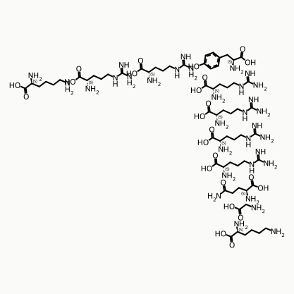 N=C(N)NCCC[C@H](N)C(=O)O.N=C(N)NCCC[C@H](N)C(=O)O.N=C(N)NCCC[C@H](N)C(=O)O.N=C(N)NCCC[C@H](N)C(=O)O.N=C(N)NCCC[C@H](N)C(=O)O.N=C(N)NCCC[C@H](N)C(=O)O.NC(=O)CC[C@H](N)C(=O)O.NCC(=O)O.NCCCC[C@H](N)C(=O)O.NCCCC[C@H](N)C(=O)O.N[C@@H](Cc1ccc(O)cc1)C(=O)O